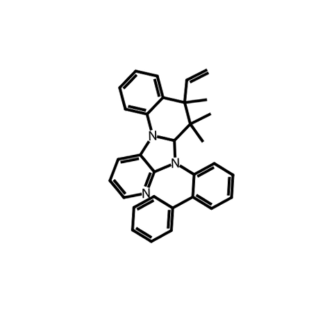 C=CC1(C)c2ccccc2N2c3cccnc3N(c3ccccc3-c3ccccc3)C2C1(C)C